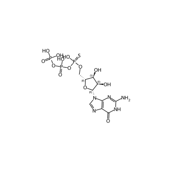 Nc1nc2c(ncn2[C@@H]2O[C@H](COP(O)(=S)OP(=O)(O)OP(=O)(O)O)[C@@H](O)[C@H]2O)c(=O)[nH]1